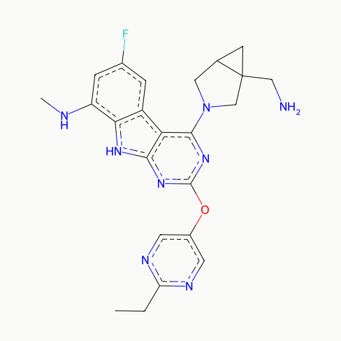 CCc1ncc(Oc2nc(N3CC4CC4(CN)C3)c3c(n2)[nH]c2c(NC)cc(F)cc23)cn1